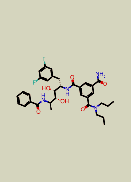 CCCN(CCC)C(=O)c1cc(C(N)=O)cc(C(=O)N[C@@H](Cc2cc(F)cc(F)c2)[C@@H](O)[C@H](O)[C@@H](C)NC(=O)c2ccccc2)c1